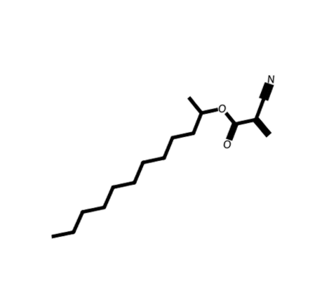 C=C(C#N)C(=O)OC(C)CCCCCCCCCC